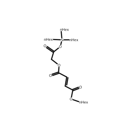 CCCCCCOC(=O)/C=C/C(=O)OCC(=O)O[Si](CCCCCC)(CCCCCC)CCCCCC